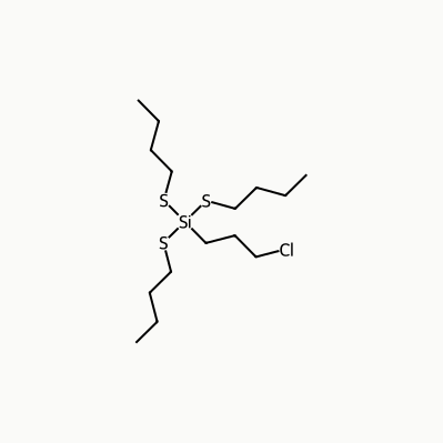 CCCCS[Si](CCCCl)(SCCCC)SCCCC